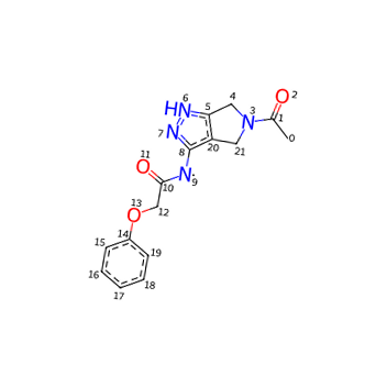 CC(=O)N1Cc2[nH]nc([N]C(=O)COc3ccccc3)c2C1